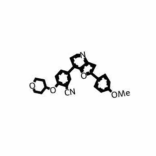 COc1ccc(-c2cc3nccc(-c4ccc(OC5CCOCC5)c(C#N)c4)c3o2)cc1